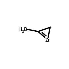 B[C]1=[Zr][CH2]1